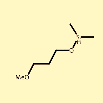 COCCCO[SiH](C)C